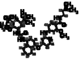 COc1cc(Nc2cc(Oc3ccc(NC(=O)Nc4cc(C(C)(C)C)cc(P(C)(C)=O)c4OC)c4ccccc34)ccn2)ccc1C(=O)NCCN(C)C